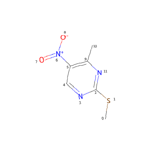 CSc1ncc([N+](=O)[O-])c(C)n1